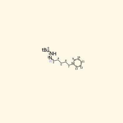 CC(C)(C)N/N=C\CCCCc1ccccc1